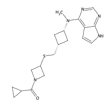 CN(c1ncnc2[nH]ccc12)[C@H]1C[C@@H](CSC2CN(C(=O)C3CC3)C2)C1